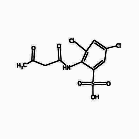 CC(=O)CC(=O)Nc1c(Cl)cc(Cl)cc1S(=O)(=O)O